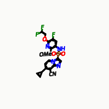 COc1nc(OCC(F)F)c(F)cc1NS(=O)(=O)c1cnc2c(C#N)c(C3CC3)ccn12